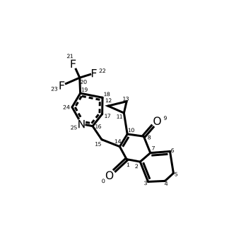 O=C1C2=CCCC=C2C(=O)C(C2CC2)=C1Cc1ccc(C(F)(F)F)cn1